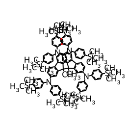 CC1(C2(C)c3cc(N(c4ccc([Si](C)(C)C)cc4)c4ccc([Si](C)(C)C)cc4)ccc3-c3ccc(N(c4ccc([Si](C)(C)C)cc4)c4ccc([Si](C)(C)C)cc4)cc32)c2cc(N(c3ccc([Si](C)(C)C)cc3)c3ccc([Si](C)(C)C)cc3)ccc2-c2ccc(N(c3ccc([Si](C)(C)C)cc3)c3ccc([Si](C)(C)C)cc3)cc21